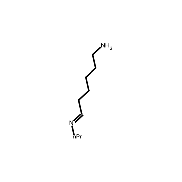 CCCN=CCCCCCN